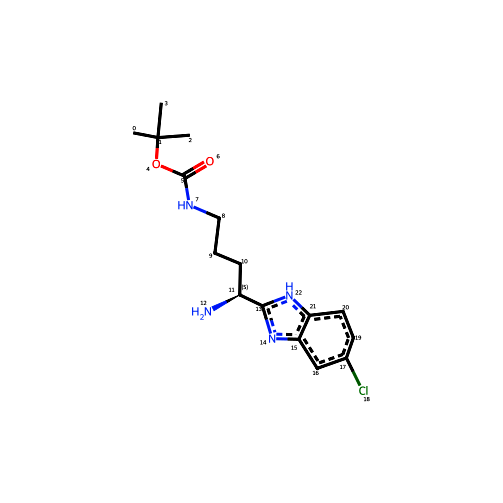 CC(C)(C)OC(=O)NCCC[C@H](N)c1nc2cc(Cl)ccc2[nH]1